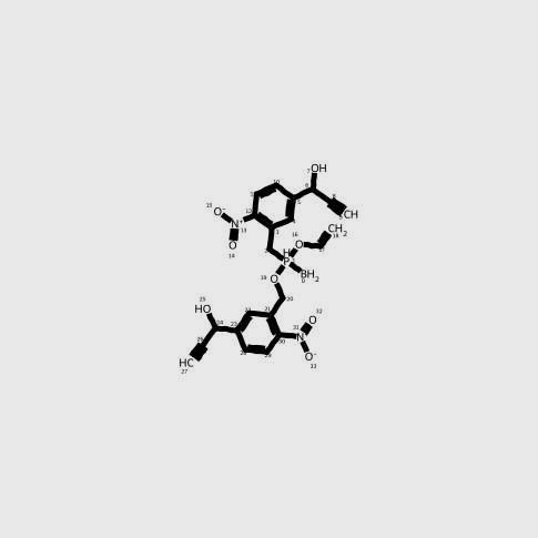 B[PH](Cc1cc(C(O)C#C)ccc1[N+](=O)[O-])(OC=C)OCc1cc(C(O)C#C)ccc1[N+](=O)[O-]